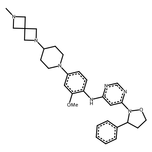 COc1cc(N2CCC(N3CC4(CN(C)C4)C3)CC2)ccc1Nc1cc(N2OCCC2c2ccccc2)ncn1